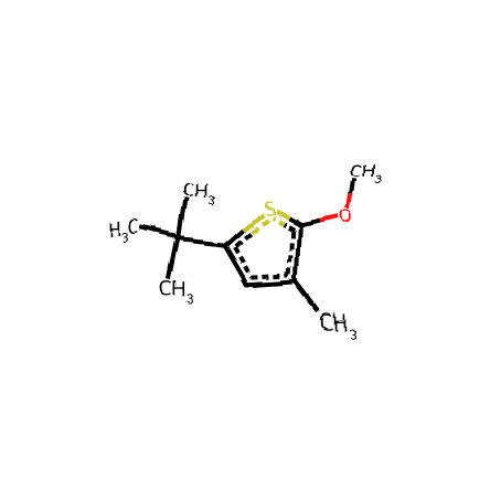 COc1sc(C(C)(C)C)cc1C